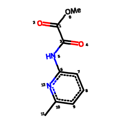 COC(=O)C(=O)Nc1cccc(C)n1